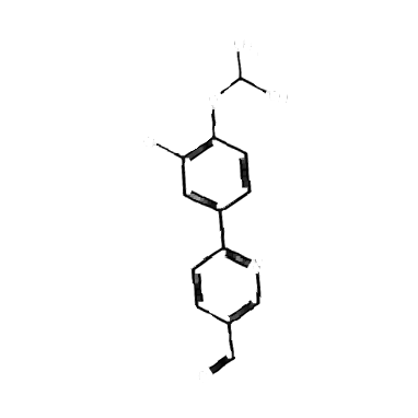 CC(C)Oc1ccc(-c2ccc(C=O)cn2)cc1Cl